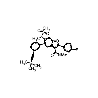 CNC(=O)c1c(-c2ccc(F)cc2)oc2cc(N(C)S(C)(=O)=O)c(-c3cccc(C#C[Si](C)(C)C)c3)cc12